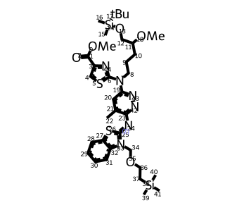 COC(=O)c1csc(N(CCCC(CO[Si](C)(C)C(C)(C)C)OC)c2cc(C)c(/N=c3\sc4ccccc4n3COCC[Si](C)(C)C)nn2)n1